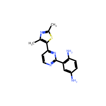 Cc1nc(C)c(-c2ccnc(-c3cc(N)ccc3N)n2)s1